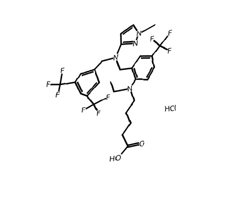 CCN(CCCCC(=O)O)c1ccc(C(F)(F)F)cc1CN(Cc1cc(C(F)(F)F)cc(C(F)(F)F)c1)c1ccn(C)n1.Cl